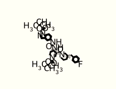 CC(C)(C)OC(=O)N1CC[C@@H](NC(=O)Nc2ccc3c(cnn3C(=O)OC(C)(C)C)c2)[C@@H](C(=O)N2CCC[C@@H](Cc3ccc(F)cc3)C2)C1